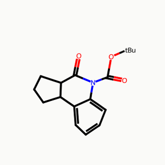 CC(C)(C)OC(=O)N1C(=O)C2CCCC2c2ccccc21